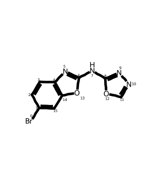 Brc1ccc2nc(Nc3nnco3)oc2c1